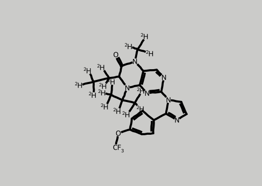 [2H]C([2H])([2H])N1C(=O)C(C([2H])([2H])C([2H])([2H])[2H])N(C([2H])(C([2H])([2H])[2H])C([2H])([2H])[2H])c2nc(-n3ccnc3-c3ccc(OC(F)(F)F)cc3)ncc21